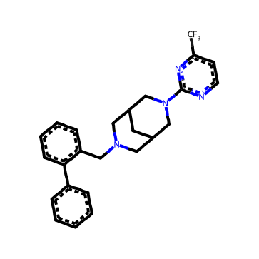 FC(F)(F)c1ccnc(N2CC3CC(CN(Cc4ccccc4-c4ccccc4)C3)C2)n1